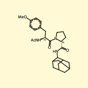 COc1ccc(C[C@H](NC(C)=O)C(=O)N2CCC[C@@H]2C(=O)NC2C3CC4CC(C3)CC2C4)cc1